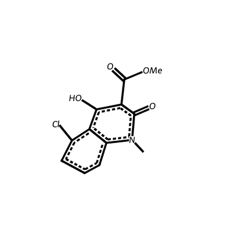 COC(=O)c1c(O)c2c(Cl)cccc2n(C)c1=O